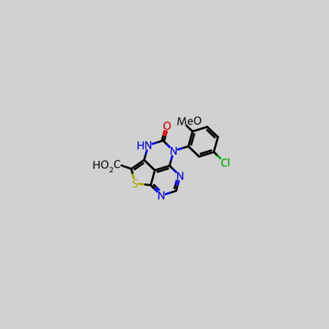 COc1ccc(Cl)cc1N1C(=O)Nc2c(C(=O)O)sc3ncnc1c23